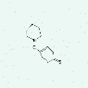 S=C1C=CC(ON2CCCCC2)=CC1